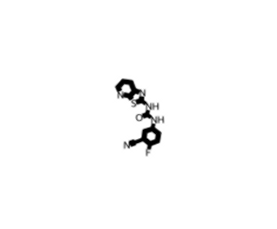 N#Cc1cc(NC(=O)Nc2nc3cccnc3s2)ccc1F